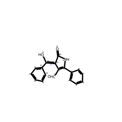 O=CC1=C(c2ccccc2)NC(=O)/C1=C(\O)c1ccccc1